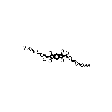 COCCOCCOCC(=O)C1C(=O)c2cc3c(cc2C1=O)C(=O)C(C(=O)COCCOCCOC)C3=O